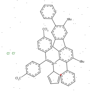 CC(C)(C)c1cc2c(cc1-c1ccccc1)Cc1c-2cc(C(C)(C)C)c(-c2ccccc2)[c]1[Zr+2](=[C](c1ccc(C(Cl)(Cl)Cl)cc1)c1ccc(C(Cl)(Cl)Cl)cc1)[CH]1C=CC=C1.[Cl-].[Cl-]